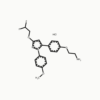 COc1ccc(-n2nc(OCC(F)F)cc2-c2ccc(OCCN)cc2)cc1.Cl